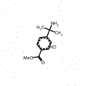 COC(=O)c1ccc(C(C)(C)N)cc1.Cl